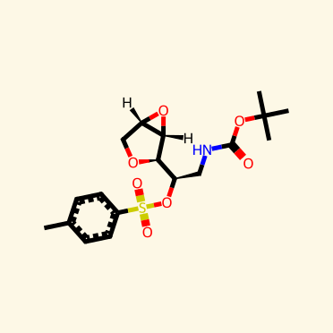 Cc1ccc(S(=O)(=O)O[C@H](CNC(=O)OC(C)(C)C)[C@H]2OC[C@@H]3O[C@H]23)cc1